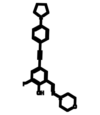 Oc1c(F)cc(C#Cc2ccc(N3CCCC3)cc2)cc1C=NN1CCOCC1